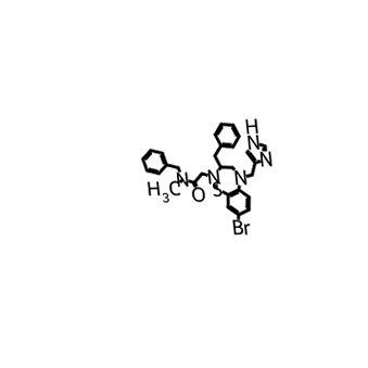 CN(Cc1ccccc1)C(=O)CN1Sc2cc(Br)ccc2N(Cc2c[nH]cn2)CC1Cc1ccccc1